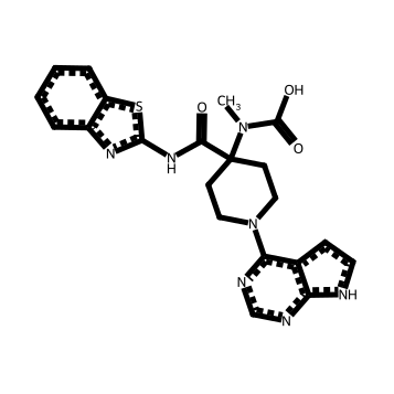 CN(C(=O)O)C1(C(=O)Nc2nc3ccccc3s2)CCN(c2ncnc3[nH]ccc23)CC1